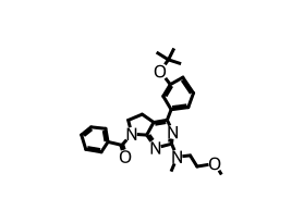 COCCN(C)c1nc(-c2cccc(OC(C)(C)C)c2)c2c(n1)N(C(=O)c1ccccc1)CC2